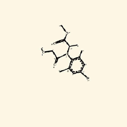 COCC(=O)N(c1c(C)cc(Br)cc1C)C(C)C(=O)OC